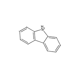 [c]1[c]c2c(cc1)-c1ccccc1[SiH2]2